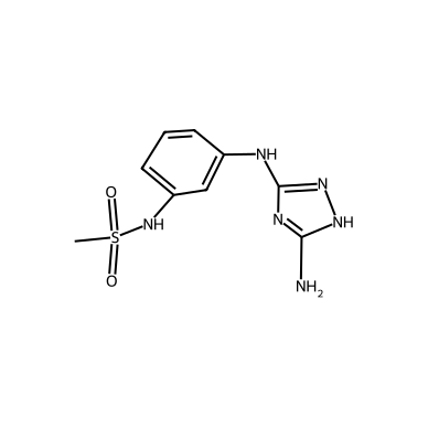 CS(=O)(=O)Nc1cccc(Nc2n[nH]c(N)n2)c1